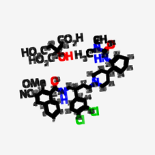 COc1c(C#N)cc2ccccc2c1C(=O)NC[C@@H](CCN1CCC(c2ccccc2NC(=O)N(C)C)CC1)c1ccc(Cl)c(Cl)c1.O=C(O)CC(O)(CC(=O)O)C(=O)O